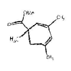 COC(=O)C1(C)C=C(C)C=C(C)C1